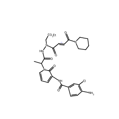 CCOC(=O)CN(NC(=O)C(C)n1cccc(NC(=O)c2ccc(N)c(Cl)c2)c1=O)C(=O)/C=C/C(=O)N1CCCCC1